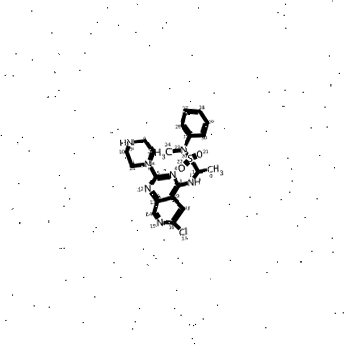 CC(Nc1nc(N2CCNCC2)nc2cnc(Cl)cc12)S(=O)(=O)N(C)c1ccccc1